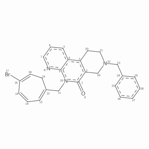 O=c1c2c(c3cccnc3n1CC1=CC=CC(Br)=CC1)CCN(Cc1ccccc1)C2